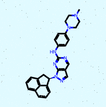 CN1CCN(c2ccc(Nc3ncc4cnn([C@@H]5Cc6cccc7cccc5c67)c4n3)cc2)CC1